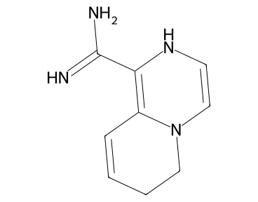 N=C(N)C1=C2C=CCCN2C=CN1